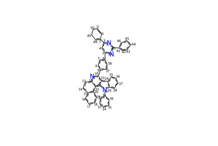 C1=CC(c2cc(-c3ccc(-c4nc5ccc6ccccc6c5c5c4c4ccccc4n5-c4ccccc4)cc3)nc(-c3ccccc3)n2)=CCC1